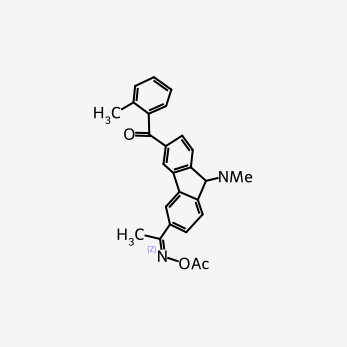 CNC1c2ccc(C(=O)c3ccccc3C)cc2-c2cc(/C(C)=N\OC(C)=O)ccc21